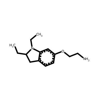 CCC1Cc2ccc(OCCN)cc2N1CC